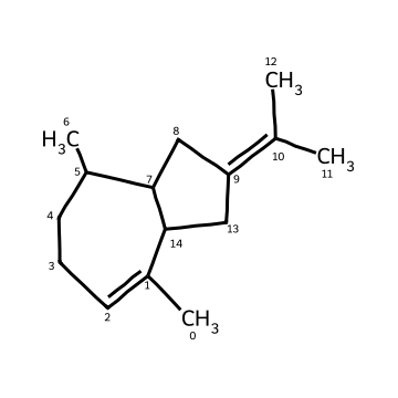 CC1=CCCC(C)C2CC(=C(C)C)CC12